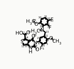 COc1cc(F)c(-n2c(=O)[nH]c3csc(C(=O)O)c3c2=O)cc1CN(C)c1c(OC)ccc(F)c1F